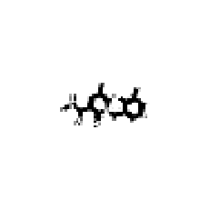 CNC(=O)c1cc(C)cn(Cc2cccc(C)c2F)c1=O